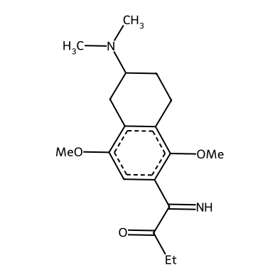 CCC(=O)C(=N)c1cc(OC)c2c(c1OC)CCC(N(C)C)C2